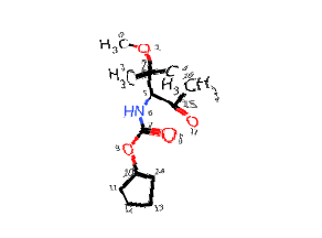 COC(C)(C)[C@H](NC(=O)OC1CCCC1)C(C)=O